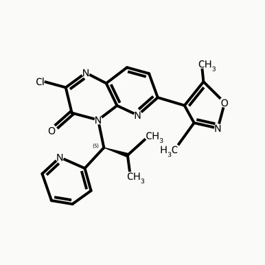 Cc1noc(C)c1-c1ccc2nc(Cl)c(=O)n([C@H](c3ccccn3)C(C)C)c2n1